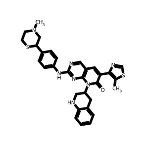 Cc1scnc1-c1cc2cnc(Nc3ccc(C4CN(C)CCS4)cc3)nc2n(C2CNc3ccccc3C2)c1=O